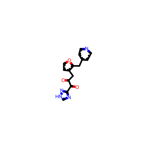 O=C(Cc1ccoc1Cc1ccncc1)C(=O)c1nc[nH]n1